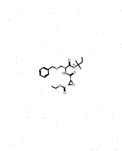 CCOC(=O)[C@H]1O[C@@H]1C(=O)N[C@@H](CSCc1ccccc1)C(=O)NC(C)(C)CC